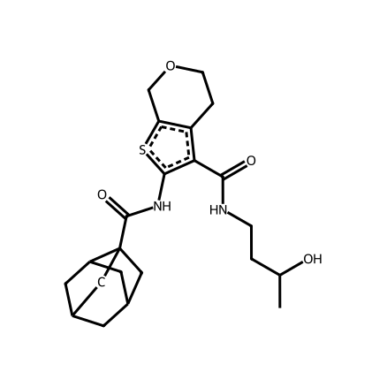 CC(O)CCNC(=O)c1c(NC(=O)C23CC4CC(CC2C4)C3)sc2c1CCOC2